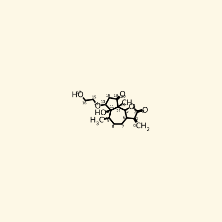 C=C1C(=O)OC2C1CCC(C)C1(O)C(OCCO)CC(=O)C21C